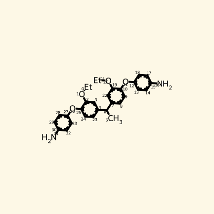 CCOc1cc(C(C)c2ccc(Oc3ccc(N)cc3)c(OCC)c2)ccc1Oc1ccc(N)cc1